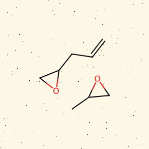 C=CCC1CO1.CC1CO1